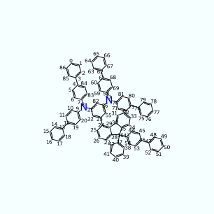 c1ccc(-c2ccc(N(c3ccc(-c4ccccc4)cc3)c3cc(-c4cccc5c4-c4ccccc4C5(c4ccccc4)c4ccc(-c5ccccc5)cc4)cc(N(c4ccc(-c5ccccc5)cc4)c4ccc(-c5ccccc5)cc4)c3)cc2)cc1